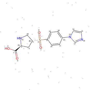 O=C(O)[C@@H]1C[C@@H](S(=O)(=O)c2ccc(-n3ccnc3)cc2)CN1